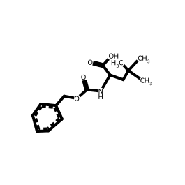 CC(C)(C)CC(NC(=O)OCc1ccccc1)C(=O)O